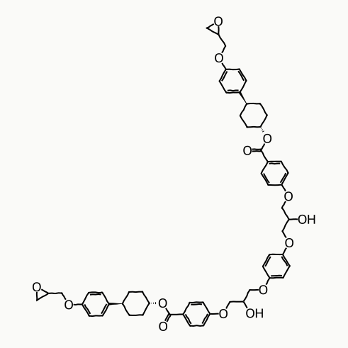 O=C(O[C@H]1CC[C@H](c2ccc(OCC3CO3)cc2)CC1)c1ccc(OCC(O)COc2ccc(OCC(O)COc3ccc(C(=O)O[C@H]4CC[C@H](c5ccc(OCC6CO6)cc5)CC4)cc3)cc2)cc1